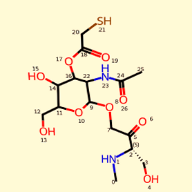 CN[C@@H](CO)C(=O)COC1OC(CO)C(O)C(OC(=O)CS)C1NC(C)=O